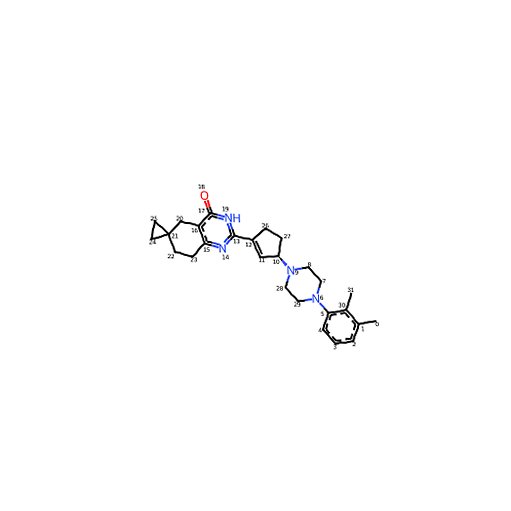 Cc1cccc(N2CCN([C@H]3C=C(c4nc5c(c(=O)[nH]4)CC4(CC5)CC4)CC3)CC2)c1C